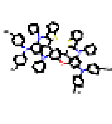 CB1c2cc3c(cc2Oc2cc(N(c4ccc(C(C)(C)C)cc4)c4ccc(C(C)(C)C)cc4)cc(N(c4ccccc4)c4csc5ccccc45)c21)N(c1ccccc1)c1cc(N(c2ccc(C(C)(C)C)cc2)c2ccc(C(C)(C)C)cc2)cc2c1B3c1sc3ccccc3c1N2c1ccccc1